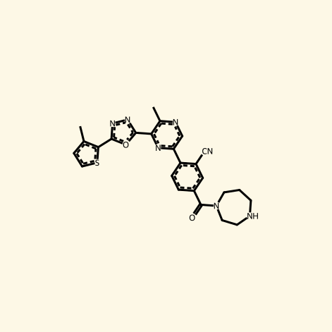 Cc1ccsc1-c1nnc(-c2nc(-c3ccc(C(=O)N4CCCNCC4)cc3C#N)cnc2C)o1